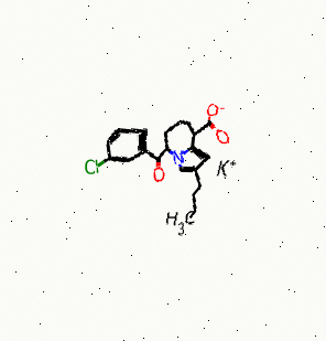 CCCCc1cc2n(c1)C(C(=O)c1cccc(Cl)c1)CCCC2C(=O)[O-].[K+]